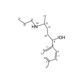 C=C(C)/C=C\C(=C/C)C(O)CCC(C)NCCC